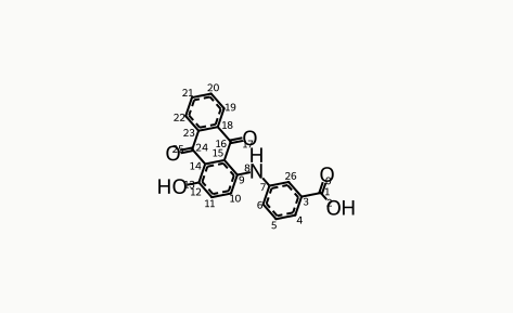 O=C(O)c1cccc(Nc2ccc(O)c3c2C(=O)c2ccccc2C3=O)c1